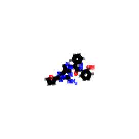 Nc1nc2c(cnn2C(C(=O)N[C@H]2CCCC[C@H]2O)c2ccccc2)c2nc(-c3ccco3)nn12